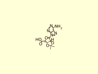 CC1(C)OC2[C@@H](C(=O)O)O[C@@H](n3cnc4c(N)ncnc43)[C@H]2O1